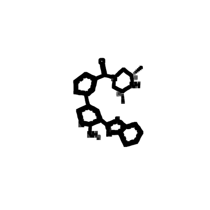 C[C@@H]1CN(C(=O)c2cccc(-c3cnc(N)c(-c4nc5ccccc5s4)c3)c2)C[C@H](C)N1